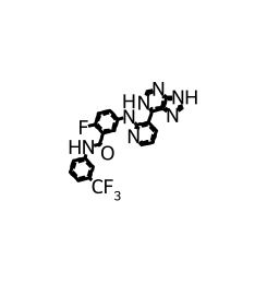 O=C(Nc1cccc(C(F)(F)F)c1)c1cc(Nc2ncccc2-c2ncnc3[nH]cnc23)ccc1F